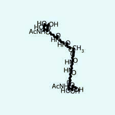 CC(=O)NC1C(OCCCCC(=O)NCCCNC(=O)CCOCC(C)OCCC(=O)NCCCNC(=O)CCCCOC2OC(CO)C(O)C(O)C2NC(C)=O)OC(CO)C(O)C1O